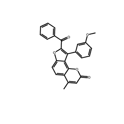 COc1cccc(-c2c(C(=O)c3ccccc3)oc3ccc4c(C)cc(=O)oc4c23)c1